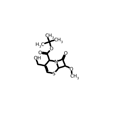 COC1C(=O)N2C(C(=O)OC(C)(C)C)C(CO)=CSC12